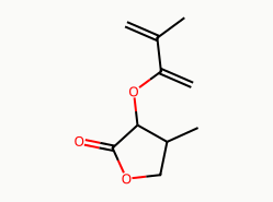 C=C(C)C(=C)OC1C(=O)OCC1C